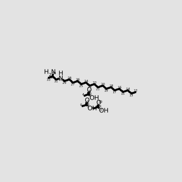 CC(=O)O.CC(=O)O.CC(=O)O.CCCCCCCCCCCCCCCCCCNCC(C)N